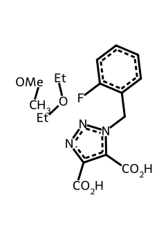 CCOCC.COC.O=C(O)c1nnn(Cc2ccccc2F)c1C(=O)O